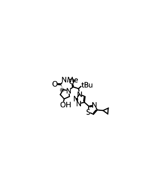 CNC(=O)[C@H]1CC(O)CN1C(=O)C(n1cc(-c2nc(C3CC3)cs2)nn1)C(C)(C)C